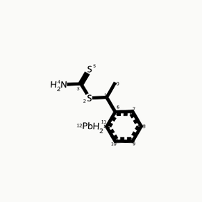 CC(SC(N)=S)c1ccccc1.[PbH2]